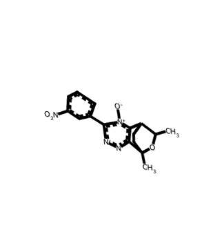 CC1OC2(C)CCC1c1c2nnc(-c2cccc([N+](=O)[O-])c2)[n+]1[O-]